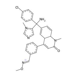 CO/N=C/c1cccc(C2=CC(=O)N(C)C3C=CC(C(N)(c4ccc(Cl)cc4)c4cncn4C)=CC23)c1